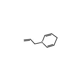 C=CCN1C=CCC=C1